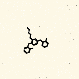 CCCCCc1cc(Cc2ccccc2C)ccc1Cc1ccccc1C